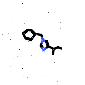 CCC(C)c1cn(Cc2ccccc2)cn1